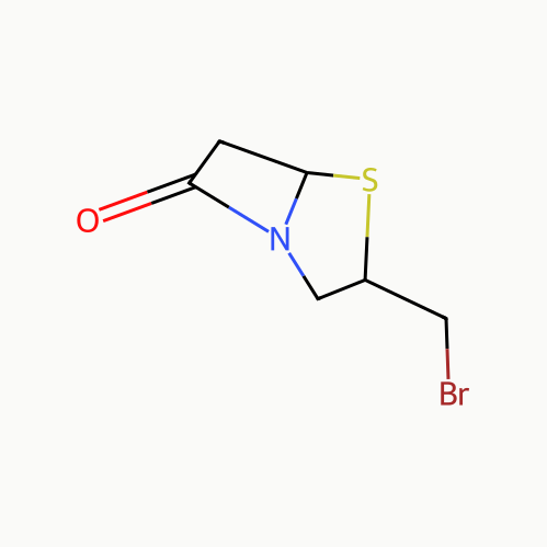 O=C1CC2SC(CBr)CN12